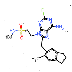 Cc1cc2c(cc1Cc1nc3c(N)nc(F)nc3n1CCS(=O)(=O)NC(C)(C)C)CCC2